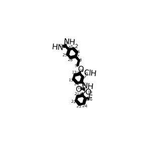 Cl.N=C(N)c1ccc(CCOc2cccc(NS(=O)(=O)c3ccccc3F)c2)cc1